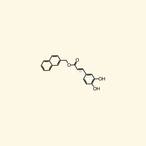 O=C(/C=C/c1ccc(O)c(O)c1)OCc1ccc2ccccc2c1